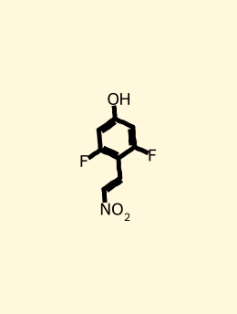 O=[N+]([O-])C=Cc1c(F)cc(O)cc1F